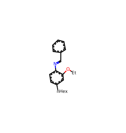 CCCCCCc1ccc(N=Cc2ccccc2)c(OCC)c1